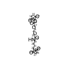 O=C(COCCOCC(=O)ON1C(=O)CCC1=O)NCCCCN1C(=O)C=CC1=O